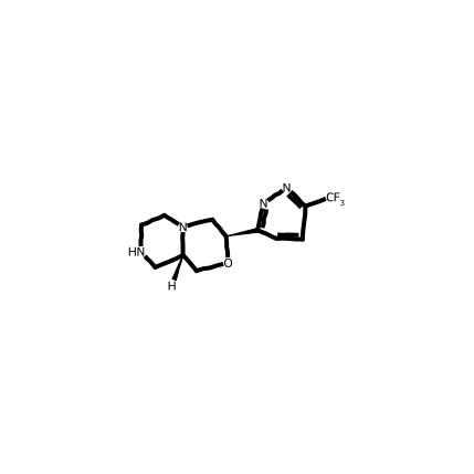 FC(F)(F)c1ccc([C@@H]2CN3CCNC[C@H]3CO2)nn1